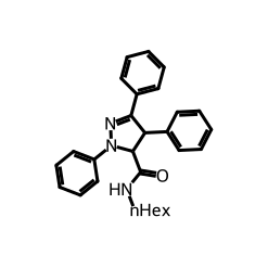 CCCCCCNC(=O)C1C(c2ccccc2)C(c2ccccc2)=NN1c1ccccc1